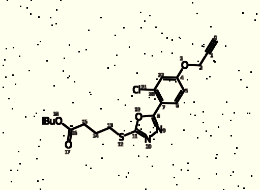 C#CCOc1ccc(-c2nnc(SCCCC(=O)OCC(C)C)o2)c(Cl)c1